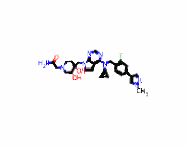 Cn1cc(-c2ccc(CN(c3ncnc4c3ccn4C[C@]3(O)CCN(CC(N)=O)C[C@H]3O)C3CC3)c(F)c2)cn1